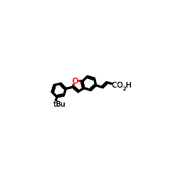 CC(C)(C)c1cccc(-c2cc3cc(/C=C/C(=O)O)ccc3o2)c1